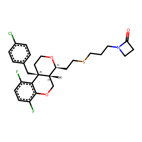 O=C1CCN1CCCSCC[C@@H]1OCC[C@@]2(Cc3ccc(Cl)cc3)c3c(F)ccc(F)c3OC[C@@H]12